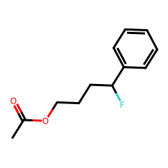 CC(=O)OCCCC(F)c1ccccc1